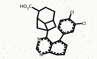 O=C(O)C1CCC2CC3(c4ncnc5cccc(-c6ccc(Cl)c(Cl)c6)c45)CC1C23